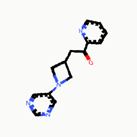 O=C(CC1CN(c2cncnc2)C1)c1ccccn1